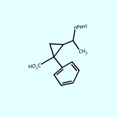 CCCCCC(C)C1CC1(C(=O)O)c1ccccc1